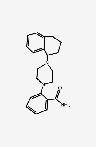 NC(=O)c1ccccc1N1CCN(C2CCCc3ccccc32)CC1